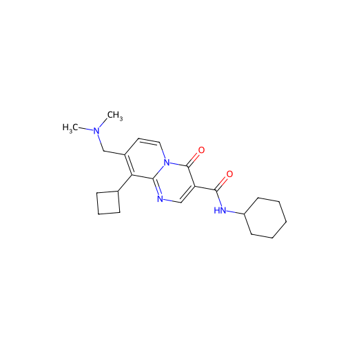 CN(C)Cc1ccn2c(=O)c(C(=O)NC3CCCCC3)cnc2c1C1CCC1